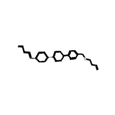 C=CCCOCc1ccc(C2CCC([C@H]3CC[C@H](/C=C/CCC)CC3)CC2)cc1